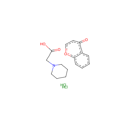 Cl.Cl.O=C(O)CN1CCCCC1.O=c1ccoc2ccccc12